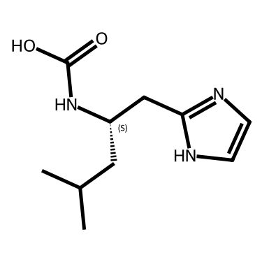 CC(C)C[C@@H](Cc1ncc[nH]1)NC(=O)O